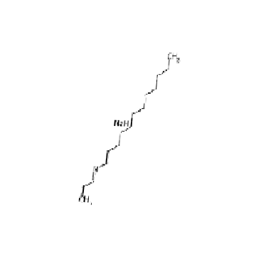 CCC=NCCCCCCCCCCCC.[NaH]